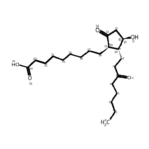 CCCCCC(=O)CC[C@H]1[C@H](O)CC(=O)[C@@H]1CCCCCCCCC(=O)O